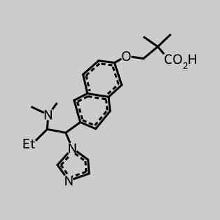 CCC(C(c1ccc2cc(OCC(C)(C)C(=O)O)ccc2c1)n1ccnc1)N(C)C